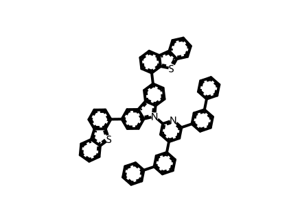 c1ccc(-c2cccc(-c3cc(-c4cccc(-c5ccccc5)c4)nc(-n4c5ccc(-c6cccc7c6sc6ccccc67)cc5c5cc(-c6cccc7c6sc6ccccc67)ccc54)c3)c2)cc1